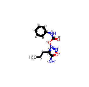 CCCc1c([NH-])on[n+]1OC(=O)Nc1ccccc1